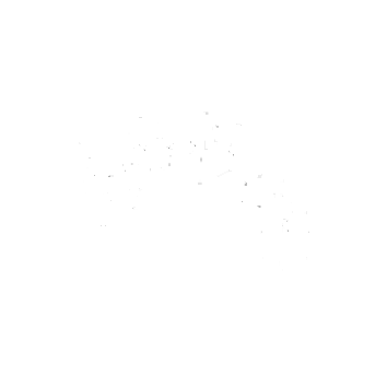 CC(=O)O/C(=C(/C(C)C)N1CCC[C@H]1C(=O)NC(=O)[C@@H](NC(=O)c1ccc(C(=O)N2CCOCC2)cc1)C(C)C)C(F)(F)C(F)(F)F